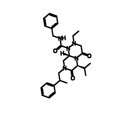 CCN1CC(=O)N2[C@@H](C(C)C)C(=O)N(CC(C)c3ccccc3)C[C@@H]2N1C(=O)NCc1ccccc1